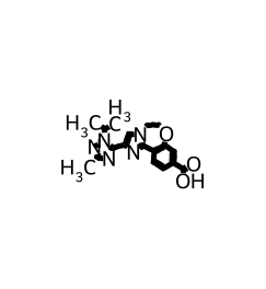 Cc1nc(-c2cn3c(n2)-c2ccc(C(=O)O)cc2OCC3)n(C(C)C)n1